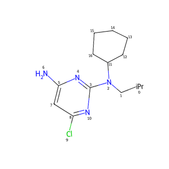 CC(C)CN(c1nc(N)cc(Cl)n1)C1CCCCC1